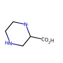 O=C(O)C1CNCC[N]1